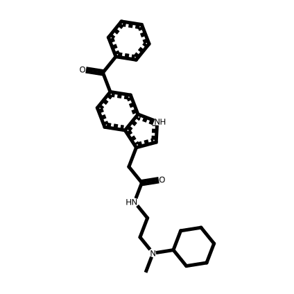 CN(CCNC(=O)Cc1c[nH]c2cc(C(=O)c3ccccc3)ccc12)C1CCCCC1